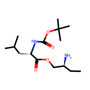 CC[C@H](N)COC(=O)[C@H](CC(C)C)NC(=O)OC(C)(C)C